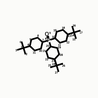 CC(C)(C)C1CCC(P(=O)(C2CCC(C(C)(C)C)CC2)C2CCC(C(C)(C)C)CC2)CC1